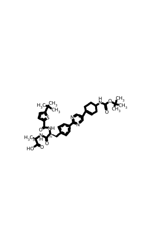 C[C@@H](NC(=O)[C@H](Cc1ccc(-c2ncc(C3=CCC(NC(=O)OC(C)(C)C)CC3)cn2)cc1)NC(=O)c1ccc(C(C)(C)C)s1)C(=O)O